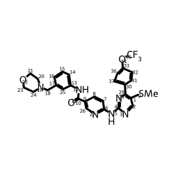 CSc1cnc(Nc2ccc(C(=O)Nc3cccc(CN4CCOCC4)c3)cn2)nc1-c1ccc(OC(F)(F)F)cc1